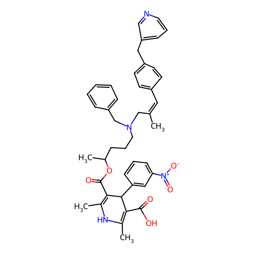 CC(=Cc1ccc(Cc2cccnc2)cc1)CN(CCCC(C)OC(=O)C1=C(C)NC(C)=C(C(=O)O)C1c1cccc([N+](=O)[O-])c1)Cc1ccccc1